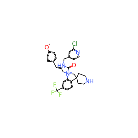 COc1ccc(/C=C/C[N+]2(C(=O)NCc3ccnc(Cl)c3)CC3(CCNCC3)c3ccc(C(F)(F)F)cc32)cc1